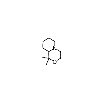 CC1(C)OCCN2CCCCC21